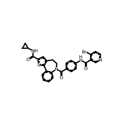 O=C(NC1CC1)c1cc2c(s1)-c1ccccc1N(C(=O)c1ccc(NC(=O)c3cnccc3Br)cc1)CC2